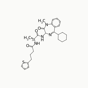 C[C@H](NC(=O)CCCc1cccs1)C(=O)NC1N=C(C2CCCCC2)c2ccccc2N(C)C1=O